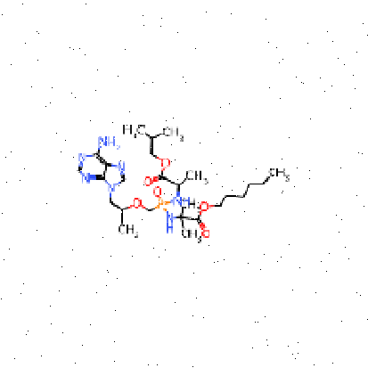 CCCCCCOC(=O)C(C)(C)NP(=O)(COC(C)Cn1cnc2c(N)ncnc21)NC(C)C(=O)OCC(C)C